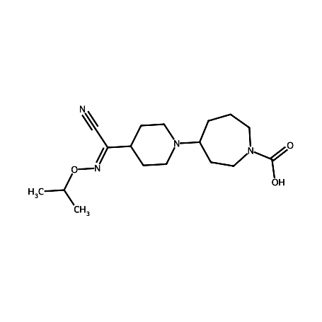 CC(C)ON=C(C#N)C1CCN(C2CCCN(C(=O)O)CC2)CC1